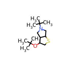 CC(C)(C)OC1CSC2CN(C(C)(C)C)CC12